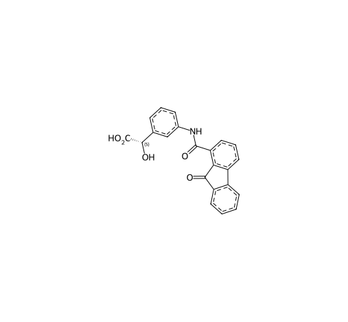 O=C(Nc1cccc([C@H](O)C(=O)O)c1)c1cccc2c1C(=O)c1ccccc1-2